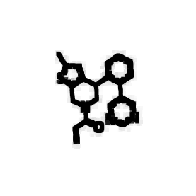 C=CC(=O)N1Cc2sc(C)cc2[C@@H](c2ccccc2-c2cncnc2)C1